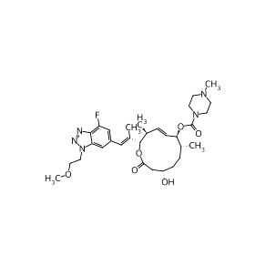 COCCn1nnc2c(F)cc(/C=C(\C)[C@H]3OC(=O)C[C@@H](O)CC[C@@H](C)[C@H](OC(=O)N4CCN(C)CC4)/C=C/[C@@H]3C)cc21